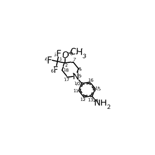 COC1(C(F)(F)F)CCN(c2ccc(N)cc2)CC1